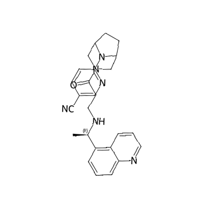 C[C@@H](NCCC(=O)N1CC2CCC(C1)N2c1ccc(C#N)cn1)c1cccc2ncccc12